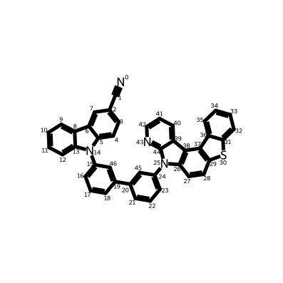 N#Cc1ccc2c(c1)c1ccccc1n2-c1cccc(-c2cccc(-n3c4ccc5sc6ccccc6c5c4c4cccnc43)c2)c1